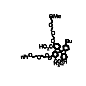 CCCOCCOCCOOc1ccc(C2(c3ccc(OCCOCCOCCOC)c(C(=O)O)c3)c3cc(C)ccc3-c3ccc(C(C)CC)cc32)cc1C(=O)O